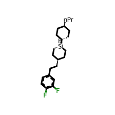 CCC[C@H]1CC[C@H]([Si@H]2CC[C@H](CCc3ccc(F)c(F)c3)CC2)CC1